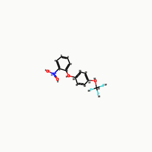 O=[N+]([O-])c1ccccc1Oc1ccc(OC(F)(F)F)cc1